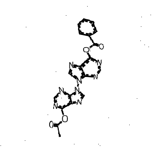 CC(=O)Oc1ncnc2c1ncn2-n1cnc2c(OC(=O)c3ccccc3)ncnc21